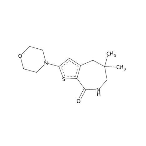 CC1(C)CNC(=O)c2sc(N3CCOCC3)cc2C1